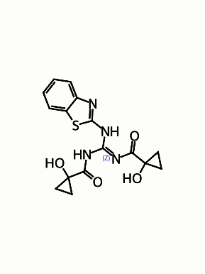 O=C(/N=C(/NC(=O)C1(O)CC1)Nc1nc2ccccc2s1)C1(O)CC1